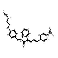 [N-]=[N+]=NCCOc1ccc(CN2C(=O)/C(=C/C=C/c3ccc([N+](=O)[O-])cc3)c3ccccc32)cc1